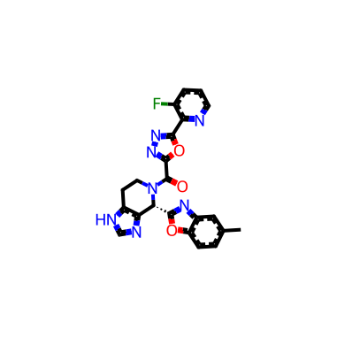 Cc1ccc2oc([C@@H]3c4nc[nH]c4CCN3C(=O)c3nnc(-c4ncccc4F)o3)nc2c1